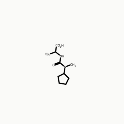 CN(C(=O)NC(C(=O)O)C(C)(C)C)C1CCCC1